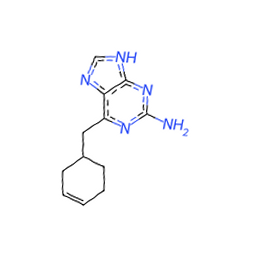 Nc1nc(CC2CC=CCC2)c2nc[nH]c2n1